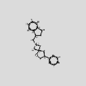 c1ccc(C2COC3(C2)CN(CC2CCc4ccccc42)C3)cc1